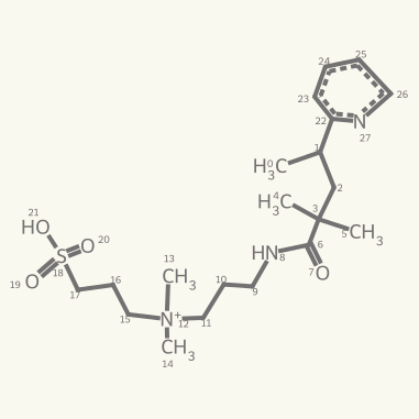 CC(CC(C)(C)C(=O)NCCC[N+](C)(C)CCCS(=O)(=O)O)c1ccccn1